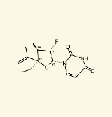 C=C(C)[C@]1(CC)O[C@@H](n2ccc(=O)[nH]c2=O)[C@@H](F)[C@@H]1C